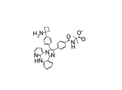 COC(=O)C(C)(C)NC(=O)c1ccc(-c2nc3n(c2-c2ccc(C4(N)CCC4)cc2)-c2cccnc2Nc2ccccc2-3)cc1